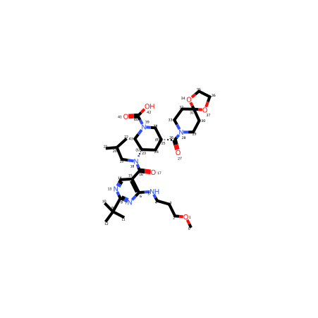 COCCCNc1nc(C(C)(C)C)ncc1C(=O)N(CC(C)C)[C@H]1C[C@@H](C(=O)N2CCC3(CC2)OCCO3)CN(C(=O)O)C1